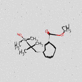 COC(=O)[C@@H]1CC=C[C@H](CC(C)(C)[Si](C)(C)O)C1